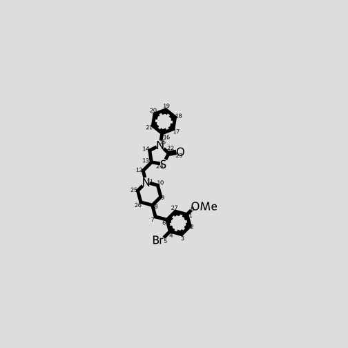 COc1ccc(Br)c(CC2CCN(CC3CN(c4ccccc4)C(=O)S3)CC2)c1